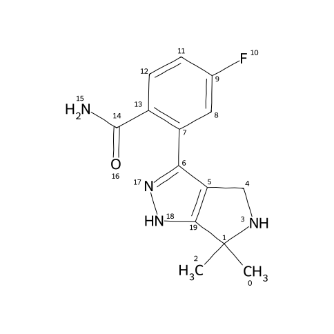 CC1(C)NCc2c(-c3cc(F)ccc3C(N)=O)n[nH]c21